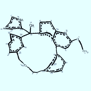 COc1cc2c3cc(ccc3n1)C(O)(c1cnc[nH]1)c1cccc(c1)OCCc1cccc-2c1